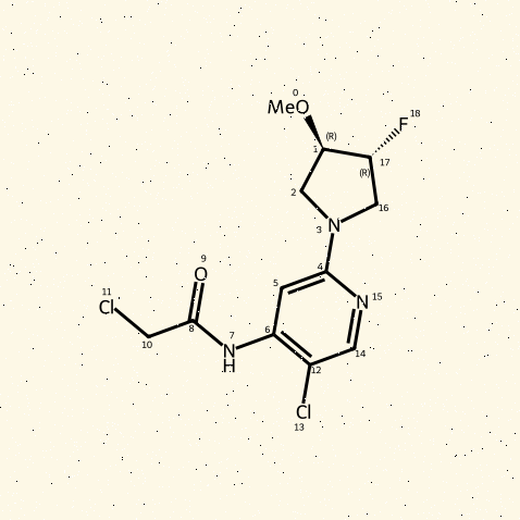 CO[C@@H]1CN(c2cc(NC(=O)CCl)c(Cl)cn2)C[C@H]1F